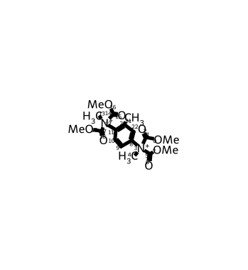 COC(=O)[N+](C)(C(=O)OC)c1ccc([N+](C)(C(=O)OC)C(=O)OC)c(C)c1